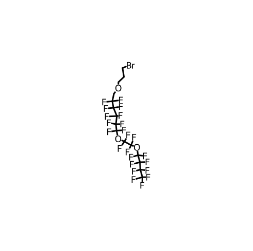 FC(F)(F)C(F)(F)C(F)(F)C(F)(F)OC(F)(F)C(F)(F)OC(F)(F)C(F)(F)C(F)(F)C(F)(F)C(F)(F)COCCCBr